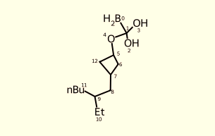 BC(O)(O)OC1CC(CC(CC)CCCC)C1